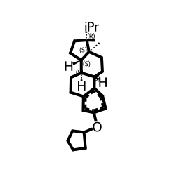 CC(C)[C@@]1(C)CC[C@H]2[C@@H]3CCc4cc(OC5CCCC5)ccc4[C@H]3CC[C@@]21C